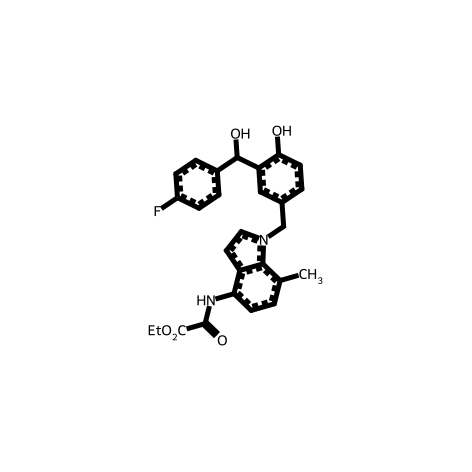 CCOC(=O)C(=O)Nc1ccc(C)c2c1ccn2Cc1ccc(O)c(C(O)c2ccc(F)cc2)c1